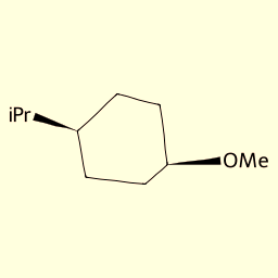 CO[C@H]1CC[C@@H](C(C)C)CC1